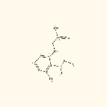 CCC(C)c1c(Cl)cccc1OCC(=O)O